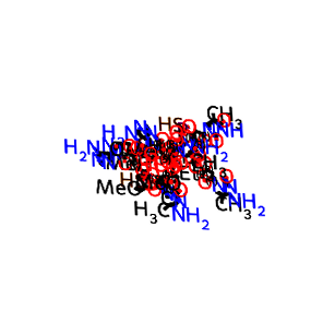 CC[C@H]1O[C@@H](n2cc(C)c(N)nc2=O)C[C@H]1OP(=O)(S)OC[C@H]1O[C@@H](n2cc(C)c(=O)[nH]c2=O)C[C@H]1OP(=O)(S)OC[C@H]1O[C@@H](n2cnc3c(N)ncnc32)C(OCCOC)[C@H]1OP(=O)(O)OC[C@H]1O[C@@H](n2cc(C)c(N)nc2=O)C(OCCOC)[C@H]1OP(=O)(S)OC[C@H]1O[C@@H](n2cnc3c(N)ncnc32)C(OCCOC)[C@H]1OP(=O)(S)OC[C@H]1O[C@@H](n2cc(C)c(N)nc2=O)C(OCCOC)[C@H]1O